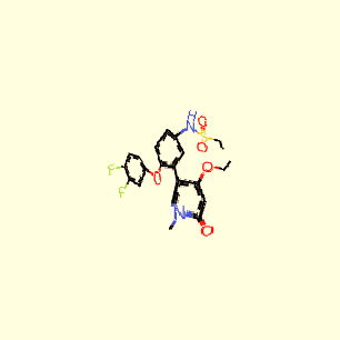 CCOc1cc(=O)n(C)cc1-c1cc(NS(=O)(=O)CC)ccc1Oc1ccc(F)c(F)c1